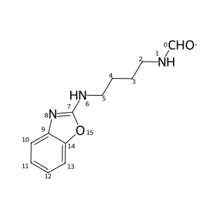 O=[C]NCCCCNc1nc2ccccc2o1